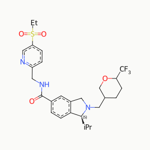 CCS(=O)(=O)c1ccc(CNC(=O)c2ccc3c(c2)CN(CC2CCC(C(F)(F)F)OC2)[C@H]3C(C)C)nc1